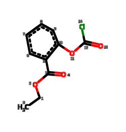 CCOC(=O)c1ccccc1OC(=O)Cl